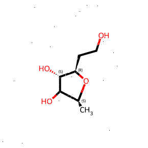 C[C@@H]1O[C@H](CCO)[C@@H](O)C1O